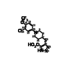 O=C(O)c1[nH]nnc1SC1CCN(c2ccc(OC(F)(F)F)c(Cl)c2)CC1